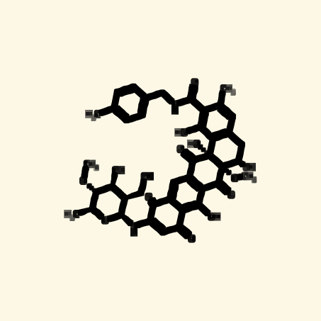 CO[C@@H]1[C@@H](O)[C@@H](CO)[C@@H](NC2=CC(=O)c3c(cc4c(c3O)C(=O)[C@]3(OC)[C@H](O)Cc5cc(C)c(C(=O)NCc6ccc(C)cc6)c(O)c5[C@]3(O)C4=O)C2=O)O[C@H]1C